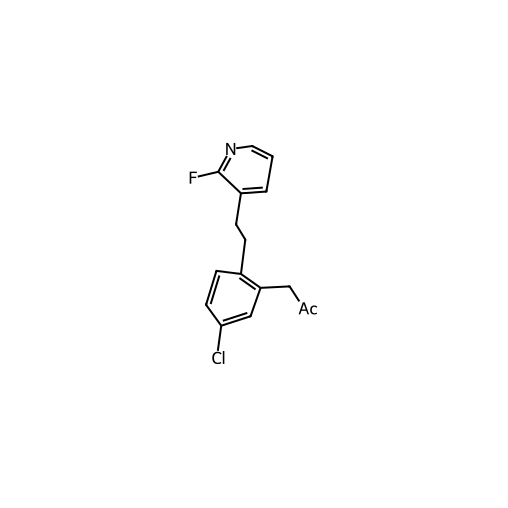 CC(=O)Cc1cc(Cl)ccc1CCc1cccnc1F